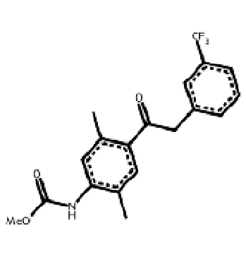 COC(=O)Nc1cc(C)c(C(=O)Cc2cccc(C(F)(F)F)c2)cc1C